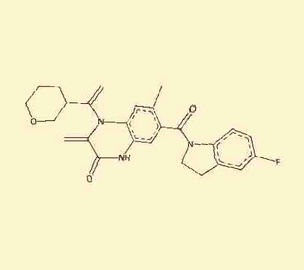 C=C1C(=O)Nc2cc(C(=O)N3CCc4cc(F)ccc43)c(C)cc2N1C(=C)C1CCCOC1